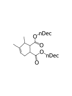 CCCCCCCCCCOC(=O)C1CC=C(C)C(C)C1C(=O)OCCCCCCCCCC